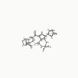 O=C1N[C@@H]([C@H]2OC3CCC2CC3)CN2CC(F)(F)Cc3c(-c4cn[nH]c4)sc1c32